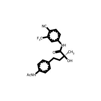 CC(=O)Nc1ccc(CC[C@](C)(O)C(=O)Nc2ccc(C#N)c(C(F)(F)F)c2)cc1